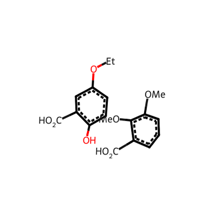 CCOc1ccc(O)c(C(=O)O)c1.COc1cccc(C(=O)O)c1OC